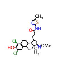 CO/N=C1\CC(CCC(=O)Nc2ncc(C)s2)C2C3CCc4c(cc(Cl)c(O)c4Cl)C3CCC12C